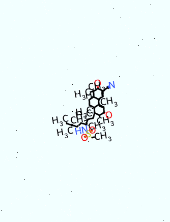 CCC(C)(C)CC[C@@](C)(CC[C@]1(C)C(C)C(=O)C=C2[C@@]3(C)C=C(C#N)C(=O)C(C)(C)[C@@H]3CC[C@]21C)NS(=O)(=O)CC